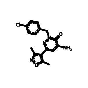 Cc1noc(C)c1-c1cc(N)c(=O)n(Cc2ccc(Cl)cc2)n1